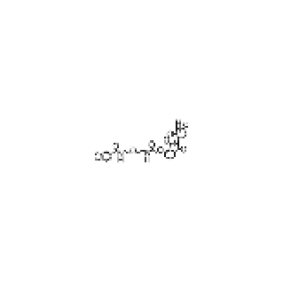 O=C(COc1cccc2c1C(=O)N(C1CCC(=O)NC1=O)C2=O)NCCOCCNC(=O)c1ccc2c(c1)CCC2